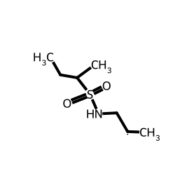 C[CH]CNS(=O)(=O)C(C)CC